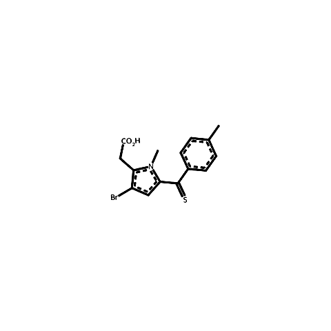 Cc1ccc(C(=S)c2cc(Br)c(CC(=O)O)n2C)cc1